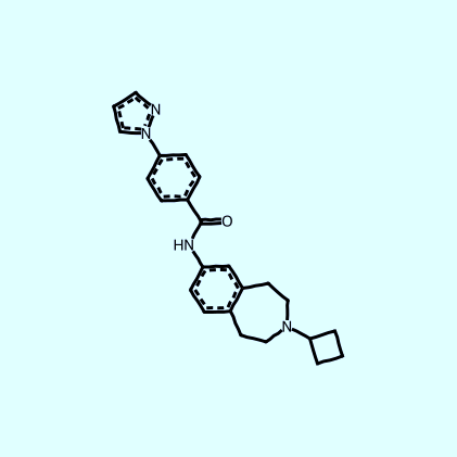 O=C(Nc1ccc2c(c1)CCN(C1CCC1)CC2)c1ccc(-n2cccn2)cc1